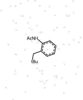 CC(=O)Nc1ccccc1CC(C)(C)C